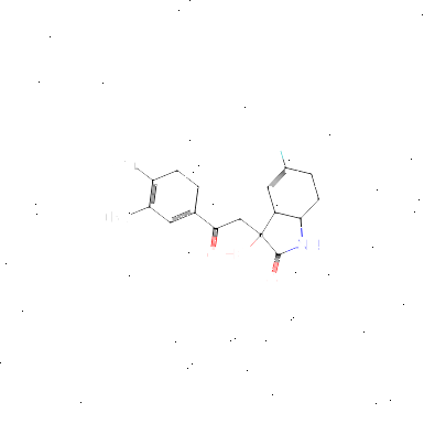 CC(C)(C)C1=C(C(C)(C)C)CCC(C(=O)CC2(O)C(=O)NC3CCC(F)=CC32)=C1